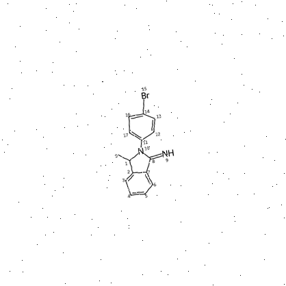 CC1c2ccccc2C(=N)N1c1ccc(Br)cc1